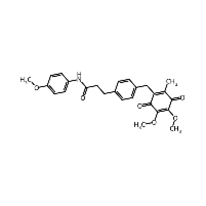 COC1=C(OC)C(=O)C(Cc2ccc(CCC(=O)Nc3ccc(OC)cc3)cc2)=C(C)C1=O